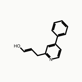 OC=CCc1cc(-c2ccccc2)ccn1